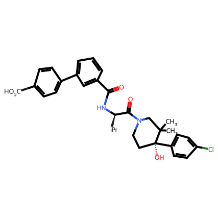 CC(C)[C@@H](NC(=O)c1cccc(-c2ccc(C(=O)O)cc2)c1)C(=O)N1CC[C@](O)(c2ccc(Cl)cc2)C(C)(C)C1